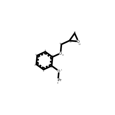 CC(C)Oc1ccccc1OCC1CO1